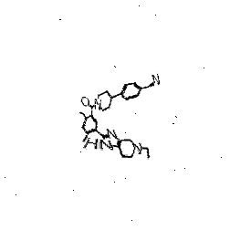 CCN1CCc2[nH]c(-c3cc(C(=O)N4CCC(c5ccc(C#N)cc5)CC4)c(C)cc3C)nc2C1